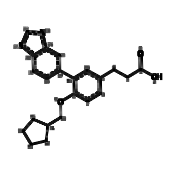 O=C(O)CCc1ccc(OCC2CCCC2)c(-c2ccc3scnc3c2)c1